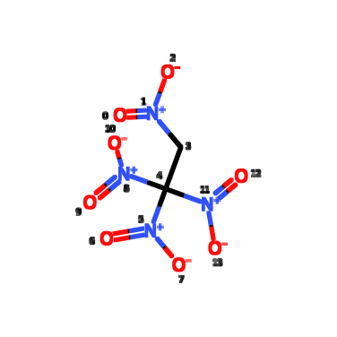 O=[N+]([O-])CC([N+](=O)[O-])([N+](=O)[O-])[N+](=O)[O-]